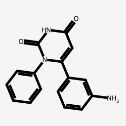 Nc1cccc(-c2cc(=O)[nH]c(=O)n2-c2ccccc2)c1